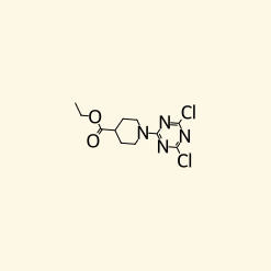 CCOC(=O)C1CCN(c2nc(Cl)nc(Cl)n2)CC1